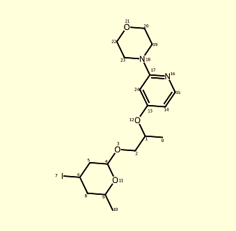 CC(COC1CC(I)CC(C)O1)Oc1ccnc(N2CCOCC2)c1